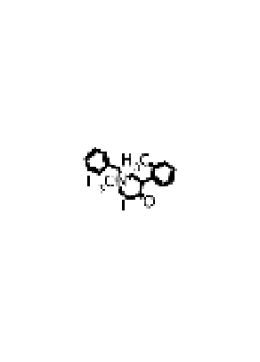 Cc1ccccc1C1C[N+](C)(Cc2ccccc2)CCC1=O.[I-]